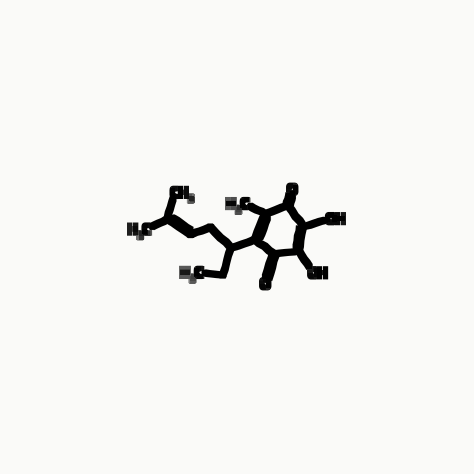 CCC(CC=C(C)C)C1=C(C)C(=O)C(O)=C(O)C1=O